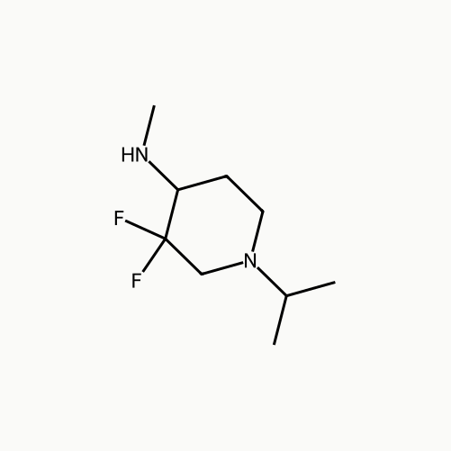 CNC1CCN(C(C)C)CC1(F)F